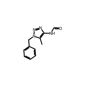 Cc1c(NC=O)nnn1Cc1ccccc1